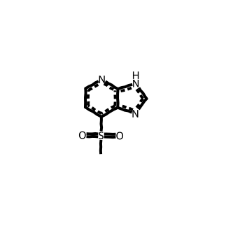 CS(=O)(=O)c1ccnc2[nH]cnc12